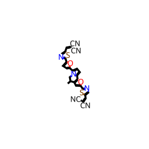 CC1Cn2c(-c3ccc(-c4ncc(C=C(C#N)C#N)s4)o3)ccc2-c2oc(-c3ncc(C=C(C#N)C#N)s3)cc21